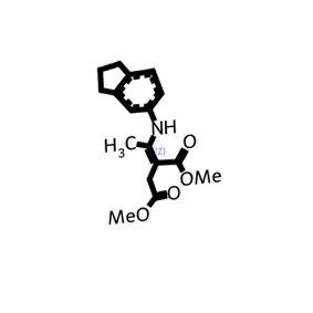 COC(=O)C/C(C(=O)OC)=C(\C)Nc1ccc2c(c1)CCC2